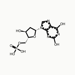 O=P(O)(O)OC[C@H]1O[C@@H](n2cnc3c(O)nc(O)nc32)C[C@@H]1O